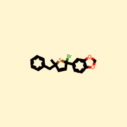 CC1(Cc2ccccc2)C=CC(Br)(c2ccc3c(c2)OCO3)S1